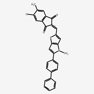 Cc1cc2c(cc1Cl)C(=O)/C(=C\c1cc3c(cc(-c4ccc(-c5ccccc5)cc4)n3C)s1)C2=O